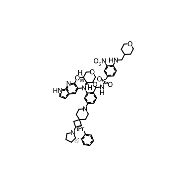 CC(C)c1ccccc1[C@@H]1CCCN1C1CC2(CCN(c3ccc(C(=O)NS(=O)(=O)c4ccc(NCC5CCOCC5)c([N+](=O)[O-])c4)c(N4c5cc6cc[nH]c6nc5O[C@H]5COCC[C@H]54)c3)CC2)C1